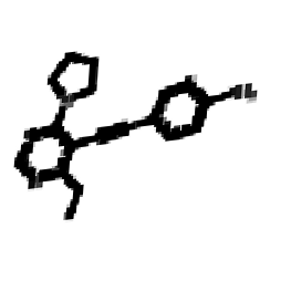 CCc1ncnc(N2CCCC2)c1C#Cc1ccc(N)nc1